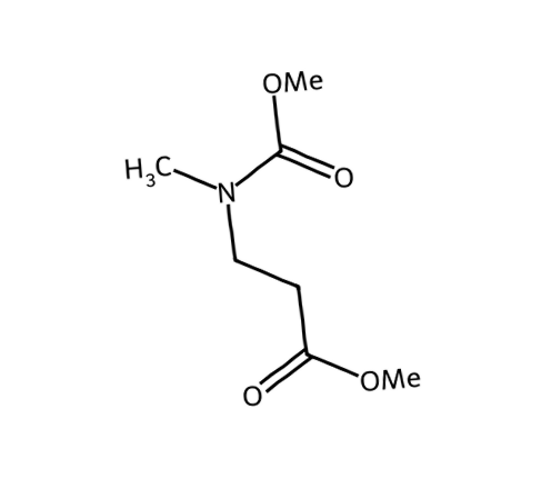 COC(=O)CCN(C)C(=O)OC